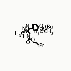 CC(C)CCOC(=O)NCc1c(-c2ccc(O[Si](C)(C)C(C)(C)C)cc2)nnn1C